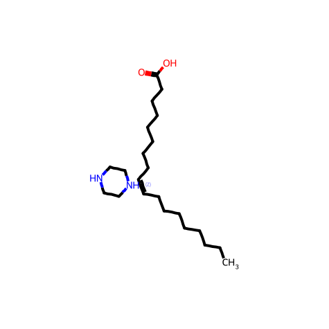 C1CNCCN1.CCCCCCCC/C=C\CCCCCCCC(=O)O